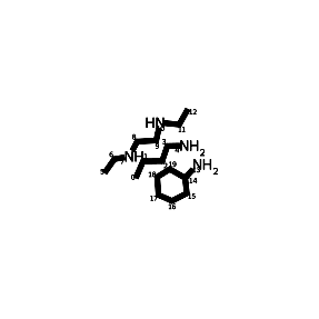 CCCCN.CCNCCNCC.NC1CCCCC1